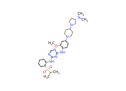 COc1cc(N2CCC(N3CC[C@H](N(C)C)C3)CC2)ccc1Nc1ncnc(Nc2ccccc2S(=O)(=O)C(C)C)n1